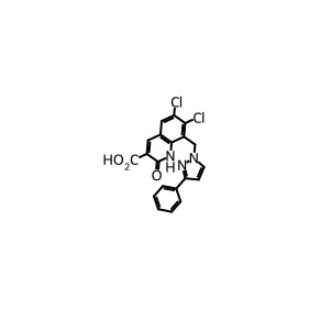 O=C(O)c1cc2cc(Cl)c(Cl)c(Cn3ccc(-c4ccccc4)n3)c2[nH]c1=O